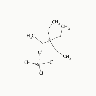 CC[N+](CC)(CC)CC.[Cl][Ru-]([Cl])([Cl])[Cl]